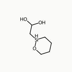 OC(O)C[SiH]1CCCCO1